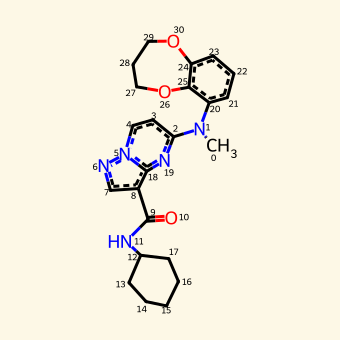 CN(c1ccn2ncc(C(=O)NC3CCCCC3)c2n1)c1cccc2c1OCCCO2